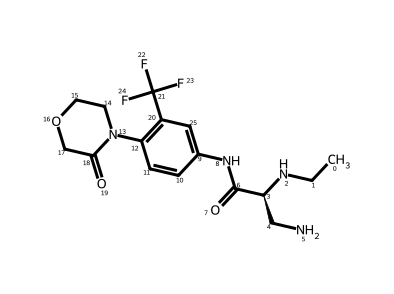 CCN[C@@H](CN)C(=O)Nc1ccc(N2CCOCC2=O)c(C(F)(F)F)c1